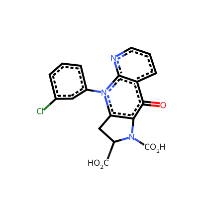 O=C(O)C1Cc2c(c(=O)c3cccnc3n2-c2cccc(Cl)c2)N1C(=O)O